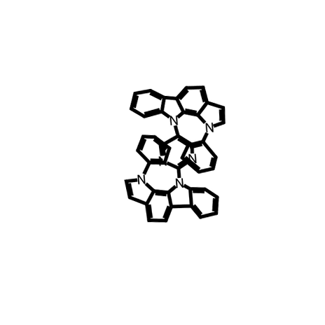 c1ccc(-n2ccc3ccc4c5ccccc5n(-c5cnc(-n6c7ccccc7c7ccc8ccn(-c9ccccc9)c8c76)nc5)c4c32)cc1